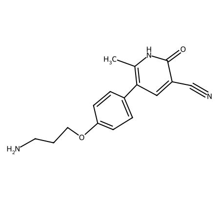 Cc1[nH]c(=O)c(C#N)cc1-c1ccc(OCCCN)cc1